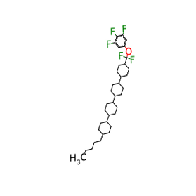 CCCCCC1CCC(C2CCC(C3CCC(C4CCC(C(F)(F)Oc5cc(F)c(F)c(F)c5)CC4)CC3)CC2)CC1